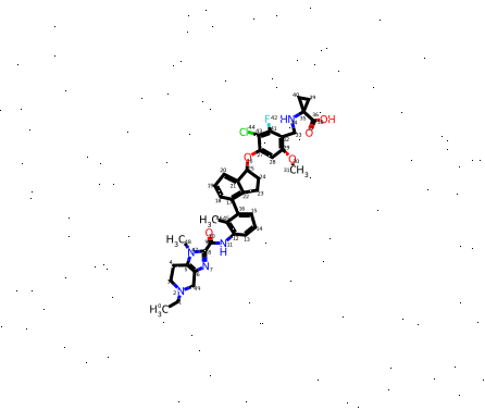 CCN1CCc2c(nc(C(=O)Nc3cccc(-c4cccc5c4CCC5Oc4cc(OC)c(CNC5(C(=O)O)CC5)c(F)c4Cl)c3C)n2C)C1